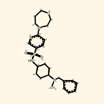 CN(Cc1ccccc1)C1CCC(NS(=O)(=O)c2ccc(N3CCCOCC3)nc2)CC1